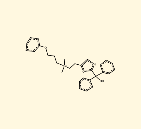 C[N+](C)(CCCOc1ccccc1)CCc1cnc(C(O)(c2ccccc2)c2ccccc2)o1